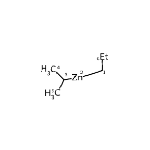 CC[CH2][Zn][CH](C)C